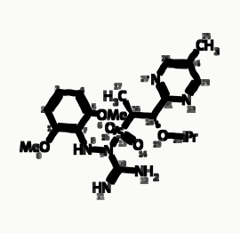 COc1cccc(OC)c1NN(C(=N)N)S(=O)(=O)[C@@H](C)[C@@H](OC(C)C)c1ncc(C)cn1